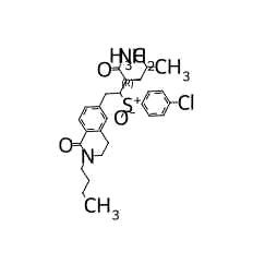 CCCCN1CCc2cc(CC([C@H](CC(C)C)C(N)=O)[S+]([O-])c3ccc(Cl)cc3)ccc2C1=O